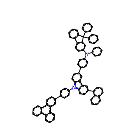 c1ccc(N(c2ccc(-c3ccc4c(c3)c3cc(-c5cccc6ccccc56)ccc3n4-c3ccc(-c4ccc5c6ccccc6c6ccccc6c5c4)cc3)cc2)c2ccc3c(c2)C(c2ccccc2)(c2ccccc2)c2ccccc2-3)cc1